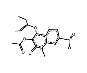 CC=C(CC)Oc1c(OC(C)=O)c(=O)n(C)c2cc([N+](=O)[O-])ccc12